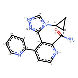 NC(=O)c1nccc(-c2ccccn2)c1-c1nncn1C1CC1